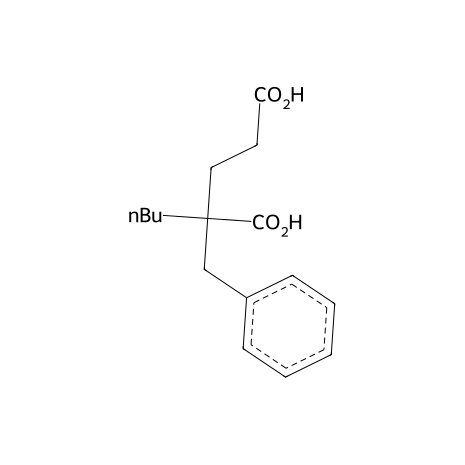 CCCCC(CCC(=O)O)(Cc1ccccc1)C(=O)O